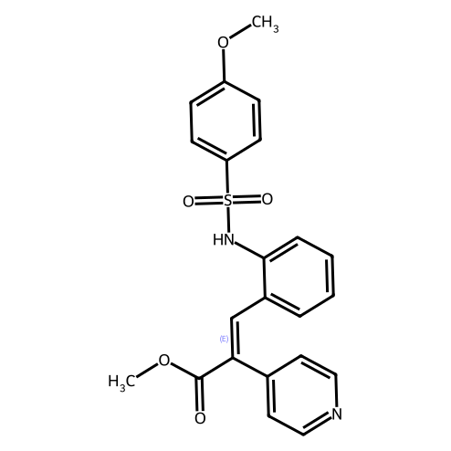 COC(=O)/C(=C/c1ccccc1NS(=O)(=O)c1ccc(OC)cc1)c1ccncc1